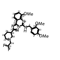 COc1ccc(CNc2nc3c(OC)cccc3c3nc(C4CCCN(CC(F)F)C4)nn23)c(OC)c1